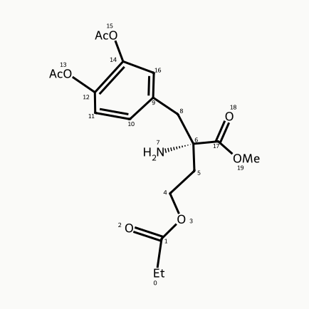 CCC(=O)OCC[C@@](N)(Cc1ccc(OC(C)=O)c(OC(C)=O)c1)C(=O)OC